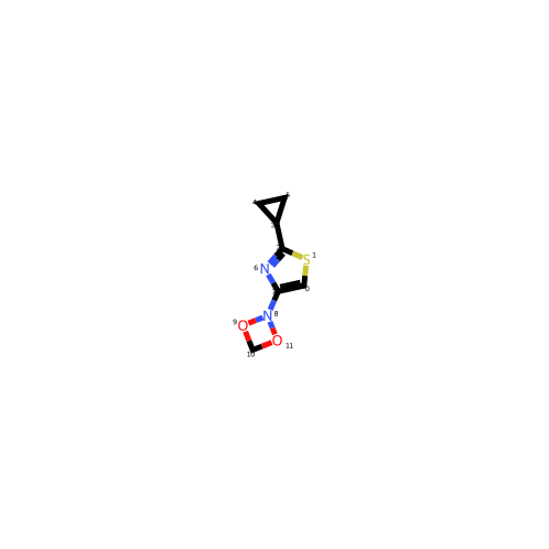 c1sc(C2CC2)nc1N1OCO1